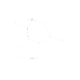 CS(=O)(=O)O.FC1NCC(C(F)(F)F)CC1Cl